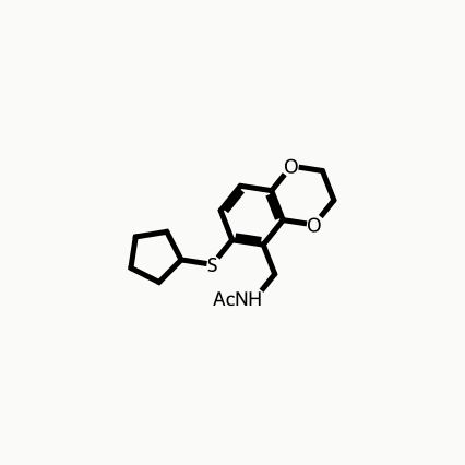 CC(=O)NCc1c(SC2CCCC2)ccc2c1OCCO2